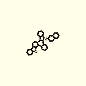 c1ccc2cc(-n3c4ccccc4c4c5ccc6c7ccccc7sc6c5c5ccccc5c43)ccc2c1